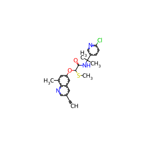 C#Cc1cnc2c(C)cc(OC(SC)C(=O)NC(C)(C)c3ccc(Cl)nc3)cc2c1